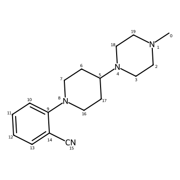 CN1CCN(C2CCN(c3ccccc3C#N)CC2)CC1